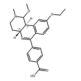 CCOc1ccc2c(c1)[C@@H]1C(OC)N(C)CC[C@H]1N=C2c1ccc(C(=O)O)cc1